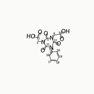 O=C(O)Cn1c(=O)n(CC(=O)O)c(=O)n(-c2ccccc2)c1=O